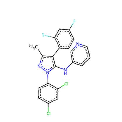 Cc1nn(-c2ccc(Cl)cc2Cl)c(Nc2cccnc2)c1-c1ccc(F)cc1F